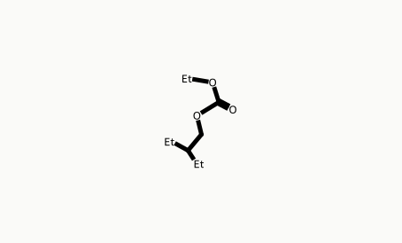 CCOC(=O)OCC(CC)CC